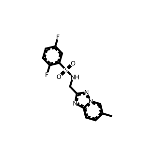 Cc1ccc2nc(CNS(=O)(=O)c3cc(F)ccc3F)nn2c1